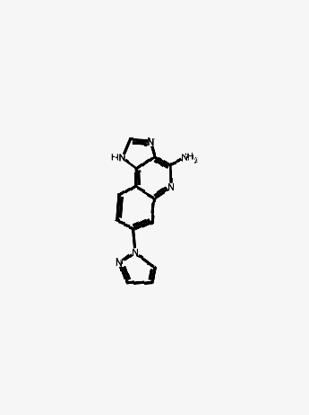 Nc1nc2cc(-n3cccn3)ccc2c2[nH]cnc12